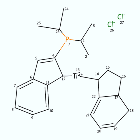 CC(C)P(C1=Cc2ccccc2[CH]1[Ti+2][CH]1CCC2CC=CC=C21)C(C)C.[Cl-].[Cl-]